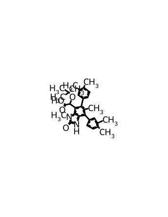 Cc1ccc(-c2c(C)c(-c3ccc(C)c(C)c3)c3[nH]c(=O)n(C)c3c2C(OC(C)(C)C)C(=O)O)cc1C